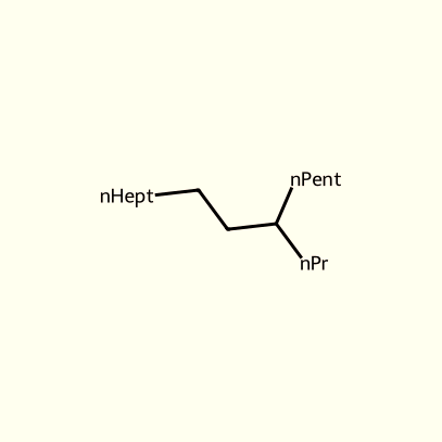 [CH2]CCC(CCCCC)CCCCCCCCC